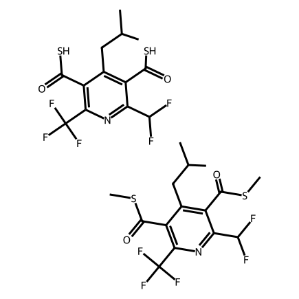 CC(C)Cc1c(C(=O)S)c(C(F)F)nc(C(F)(F)F)c1C(=O)S.CSC(=O)c1c(C(F)F)nc(C(F)(F)F)c(C(=O)SC)c1CC(C)C